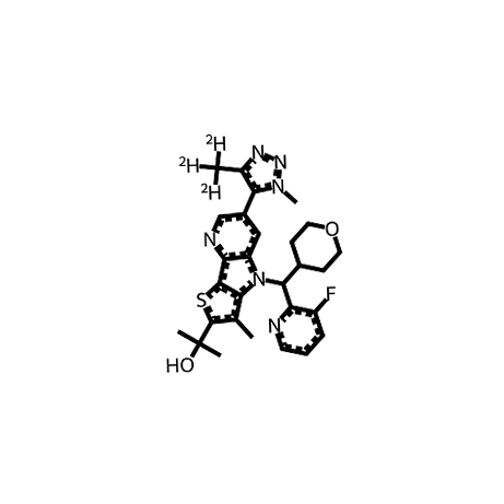 [2H]C([2H])([2H])c1nnn(C)c1-c1cnc2c3sc(C(C)(C)O)c(C)c3n(C(c3ncccc3F)C3CCOCC3)c2c1